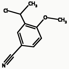 COc1ccc(C#N)cc1C(C)Cl